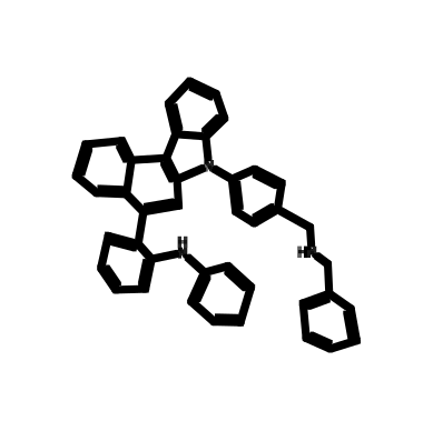 c1ccc(CNCc2ccc(-n3c4ccccc4c4c5ccccc5c(-c5ccccc5Nc5ccccc5)cc43)cc2)cc1